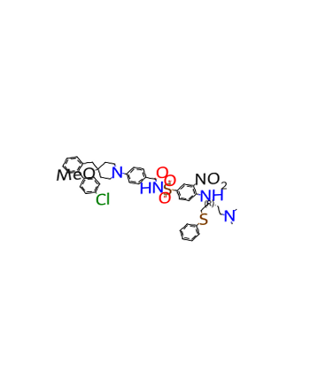 COC1(Cc2ccccc2-c2ccc(Cl)cc2)CCN(c2ccc(C(=O)NS(=O)(=O)c3ccc(N[C@H](CCN(C)C)CSc4ccccc4)c([N+](=O)[O-])c3)cc2)CC1